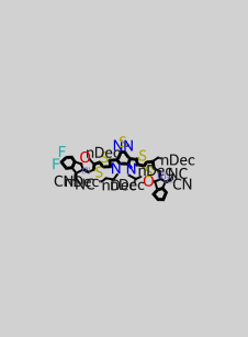 [C-]#[N+]C([N+]#[C-])=C1/C(=C/c2sc3c(sc4c5c6nsnc6c6c7sc8c(CCCCCCCCCCC)c(/C=C9\C(=O)c%10ccccc%10\C9=C(/C#N)[N+]#[C-])sc8c7n(CC(CCCCCCCCCC)CCCCCCCCCCC)c6c5n(CC(CCCCCCCCCC)CCCCCCCCCCCC)c34)c2CCCCCCCCCCC)C(=O)c2cc(F)c(F)cc21